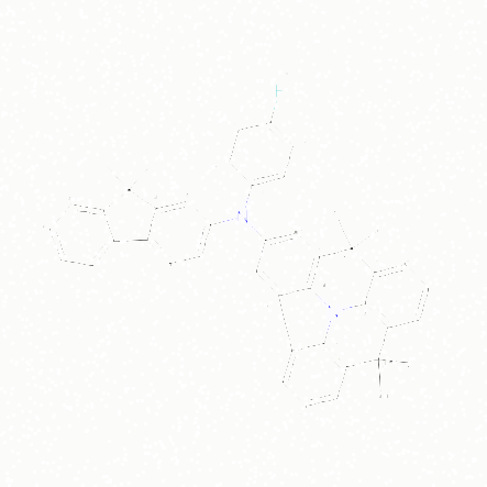 CC1(C)c2ccccc2-c2ccc(N(C3=CC=C(F)CC3)c3cc4c5c(c3)c3cccc6c3n5-c3c(cccc3C4(C)C)C6(C)C)cc21